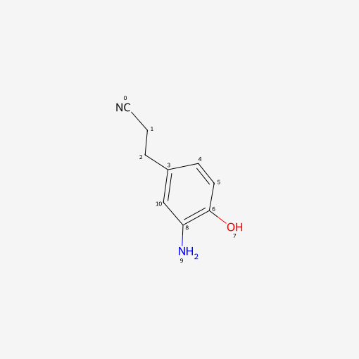 N#CCCc1ccc(O)c(N)c1